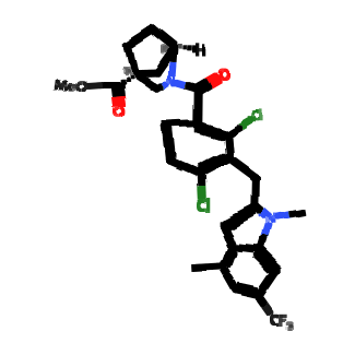 COC(=O)[C@]12CC[C@H](C1)N(C(=O)c1ccc(Cl)c(Cc3cc4c(C)cc(C(F)(F)F)cc4n3C)c1Cl)C2